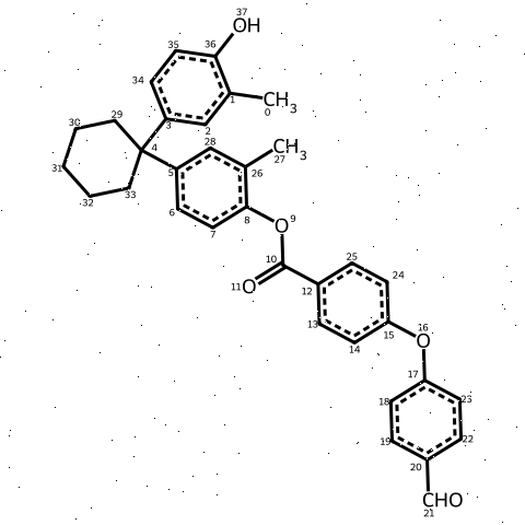 Cc1cc(C2(c3ccc(OC(=O)c4ccc(Oc5ccc(C=O)cc5)cc4)c(C)c3)CCCCC2)ccc1O